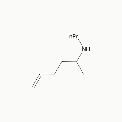 C=CCCC(C)NCCC